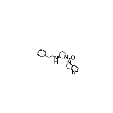 O=C(N1CCC[C@H](NCCc2ccccc2)C1)N1CCc2ncccc21